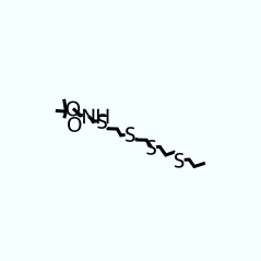 CCCSCCCSCCSCCCSCNC(=O)OC(C)(C)C